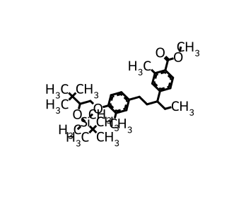 CCC(CCc1ccc(OCC(O[Si](C)(C)C(C)(C)C)C(C)(C)C)c(C)c1)c1ccc(C(=O)OC)c(C)c1